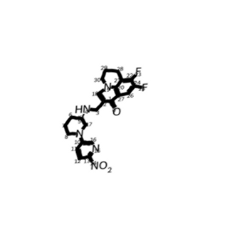 O=c1c(CN[C@H]2CCCN(c3ccc([N+](=O)[O-])nc3)C2)cn2c3c(c(F)c(F)cc13)CCC2